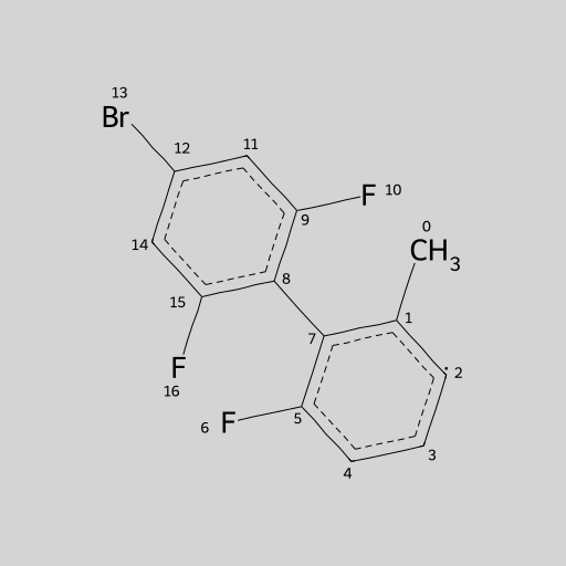 Cc1[c]ccc(F)c1-c1c(F)cc(Br)cc1F